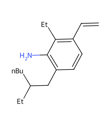 C=Cc1ccc(CC(CC)CCCC)c(N)c1CC